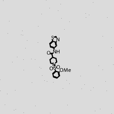 COc1ccccc1S(=O)(=O)N1CCC(C(=O)Nc2ccc3scnc3c2)CC1